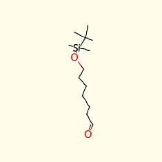 CC(C)(C)[Si](C)(C)OCCCCCCC=O